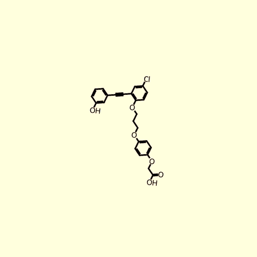 O=C(O)COc1ccc(OCCCOc2ccc(Cl)cc2C#Cc2cccc(O)c2)cc1